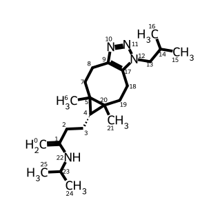 C=C(CC[C@@H]1C2(C)CCc3nnn(CC(C)C)c3CCC12C)NC(C)C